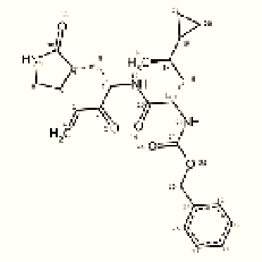 C=CC(=O)[C@H](C[C@@H]1CCNC1=O)NC(=O)[C@H](C[C@@H](C)C1CC1)NC(=O)OCc1ccccc1